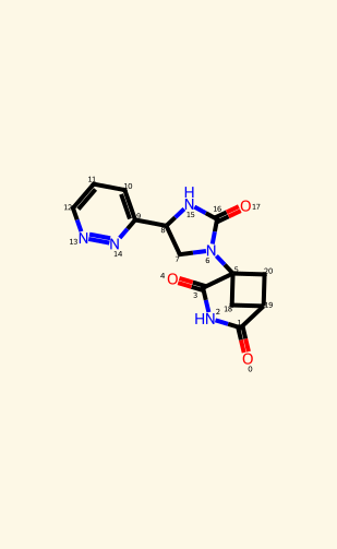 O=C1NC(=O)C2(N3CC(c4cccnn4)NC3=O)CC1C2